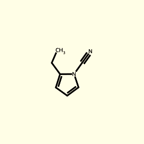 CCc1cccn1C#N